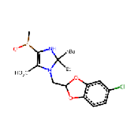 CCCCC1(CC)NC([S+](C)[O-])=C(C(=O)O)N1CC1Oc2ccc(Cl)cc2O1